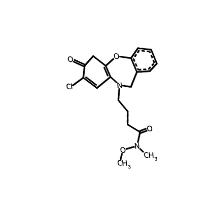 CON(C)C(=O)CCCN1Cc2ccccc2OC2=C1C=C(Cl)C(=O)C2